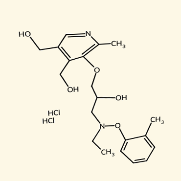 CCN(CC(O)COc1c(C)ncc(CO)c1CO)Oc1ccccc1C.Cl.Cl